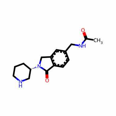 CC(=O)NCc1ccc2c(c1)CN([C@H]1CCCNC1)C2=O